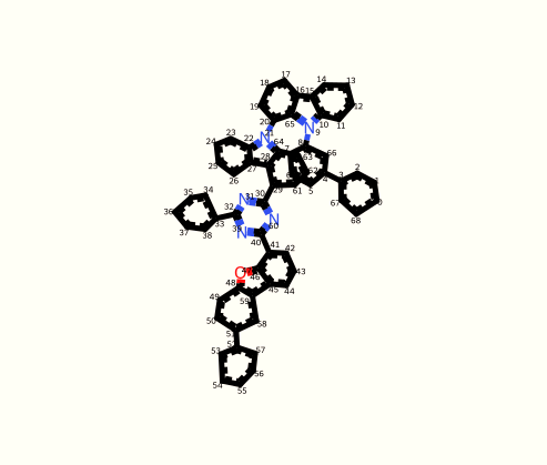 c1ccc(-c2cccc(-n3c4ccccc4c4cccc(-n5c6ccccc6c6c(-c7nc(-c8ccccc8)nc(-c8cccc9c8oc8ccc(-c%10ccccc%10)cc89)n7)cccc65)c43)c2)cc1